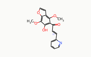 COc1c(C(=O)/C=C/c2ccccn2)c(O)c(OC)c2occc12